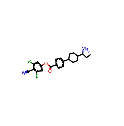 CCC(N)C1CCC(c2ccc(C(=O)Oc3cc(F)c(C#N)c(F)c3)cc2)CC1